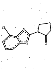 O=C1CSCN1c1nc2c(Cl)cccc2s1